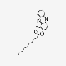 CCCCCCCCCC(=O)Oc1ccc2nc3ccccc3nc2c1F